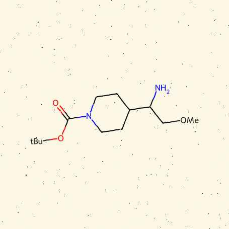 COCC(N)C1CCN(C(=O)OC(C)(C)C)CC1